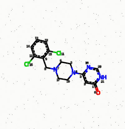 O=c1cc(N2CCN(Cc3c(Cl)cccc3Cl)CC2)nc[nH]1